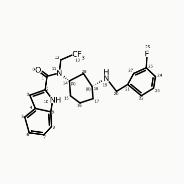 O=C(c1cc2ccccc2[nH]1)N(CC(F)(F)F)[C@H]1CCC[C@@H](NCc2cccc(F)c2)C1